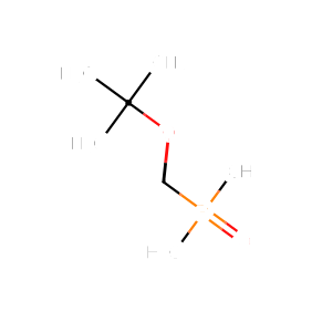 CC(C)(C)OCP(C)(C)=O